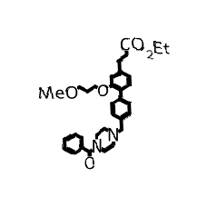 CCOC(=O)CCc1ccc(-c2ccc(CN3CCN(C(=O)c4ccccc4)CC3)cc2)c(OCCCOC)c1